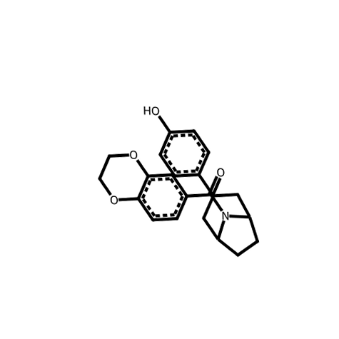 O=C(c1ccc2c(c1)OCCO2)N1C2CCC1CC(c1ccc(O)cc1)C2